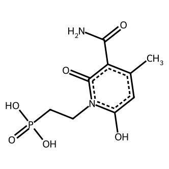 Cc1cc(O)n(CCP(=O)(O)O)c(=O)c1C(N)=O